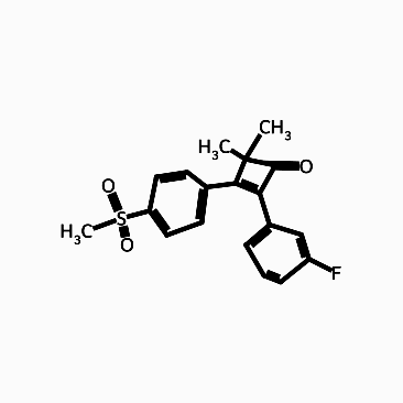 CC1(C)C(=O)C(c2cccc(F)c2)=C1c1ccc(S(C)(=O)=O)cc1